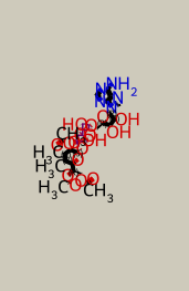 CC(=O)OC[C@@H](OC(C)=O)C1O[C@@H](OP(=O)(O)OP(=O)(O)OC[C@H]2O[C@@H](n3cnc4c(N)ncnc43)[C@@H](O)C2O)C(OC(C)=O)[C@@H](C)[C@@H]1C